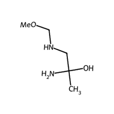 COCNCC(C)(N)O